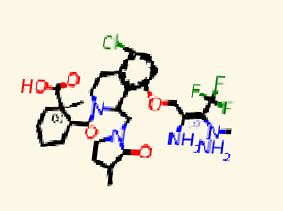 CC1CCN(CC2c3c(OC/C(N)=C(/N(C)N)C(F)(F)F)ccc(Cl)c3CCN2C(=O)C2CCCC[C@]2(C)C(=O)O)C1=O